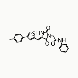 Cc1ccc(-c2csc(/C=C3\NC(=O)N(CC(=O)Nc4ccccc4)C3=O)c2)cc1